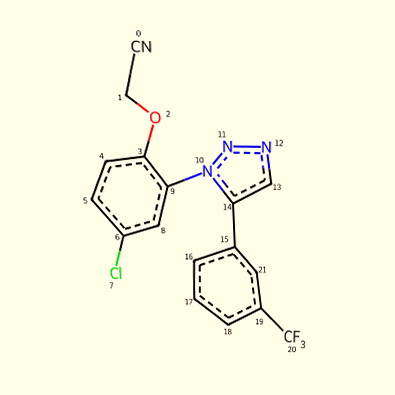 N#CCOc1ccc(Cl)cc1-n1nncc1-c1cccc(C(F)(F)F)c1